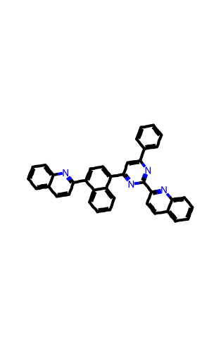 c1ccc(-c2cc(-c3ccc(-c4ccc5ccccc5n4)c4ccccc34)nc(-c3ccc4ccccc4n3)n2)cc1